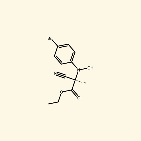 CCOC(=O)[C@@](C)(C#N)N(O)c1ccc(Br)cc1